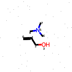 C=CCO.CN(C)C